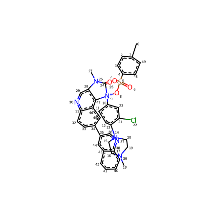 Cc1ccc(S(=O)(=O)O[N+]2(c3ccc(N4CCN(C)CC4)c(Cl)c3)C(=O)N(C)c3cnc4ccc(-c5cnc6ccccc6c5)cc4c32)cc1